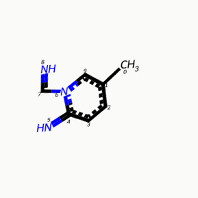 Cc1ccc(=N)n(C=N)c1